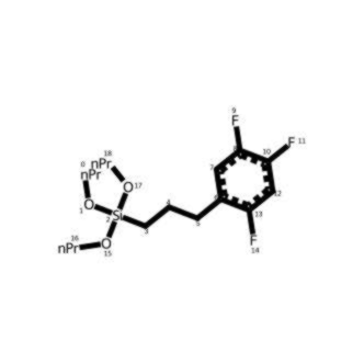 CCCO[Si](CCCc1cc(F)c(F)cc1F)(OCCC)OCCC